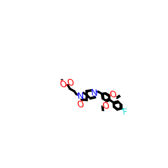 CCOc1cc(CN2CCC3(CC2)CC(=O)N(CCCC(=O)OC)C3)cc(OCC)c1-c1ccc(F)cc1